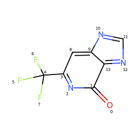 O=C1N=C(C(F)(F)F)C=C2N=CN=C12